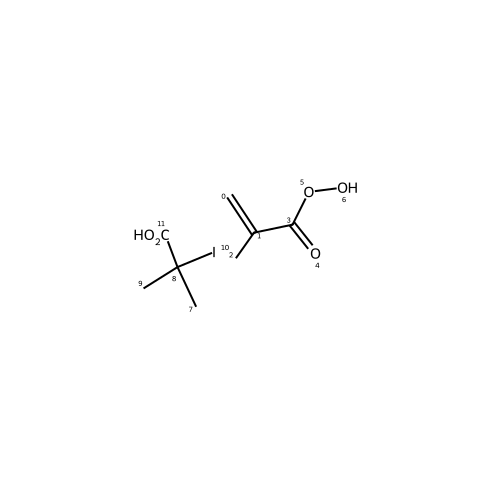 C=C(C)C(=O)OO.CC(C)(I)C(=O)O